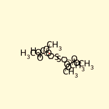 CCOC(=O)C(C)(Cc1ccc(SSc2ccc(CC(C)(C(=O)OCC)C(=O)OCC)cc2)cc1)C(=O)OCC